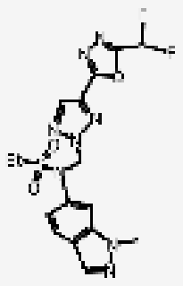 CCS(=O)(=O)N(Cn1ncc(-c2nnc(C(F)F)o2)n1)c1ccc2cnn(C)c2c1